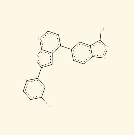 Nc1cccc(-c2cc3c(-c4ccc5[nH]nc(N)c5c4)ccnc3[nH]2)c1